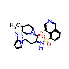 CC1CCN(C(=O)C(CCn2cccc2N)NS(=O)(=O)c2cccc3cnccc23)CC1